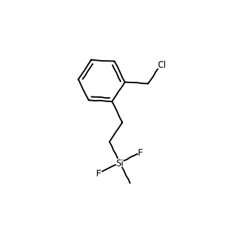 C[Si](F)(F)CCc1ccccc1CCl